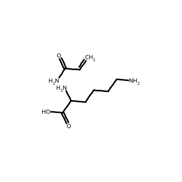 C=CC(N)=O.NCCCCC(N)C(=O)O